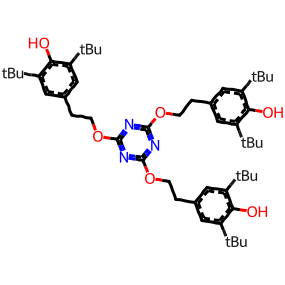 CC(C)(C)c1cc(CCOc2nc(OCCc3cc(C(C)(C)C)c(O)c(C(C)(C)C)c3)nc(OCCc3cc(C(C)(C)C)c(O)c(C(C)(C)C)c3)n2)cc(C(C)(C)C)c1O